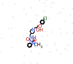 Cn1c(=O)n(C(=O)NCC2CCN(CC(O)COc3ccc(Cl)cc3)CC2)c2ccccc21